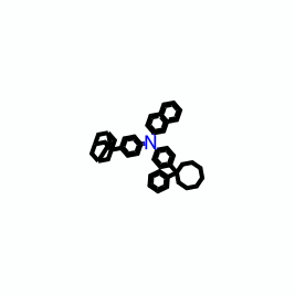 c1ccc(C2(c3ccc(N(c4ccc(C56CC7CC(CC(C7)C5)C6)cc4)c4ccc5ccccc5c4)cc3)CCCCCCC2)cc1